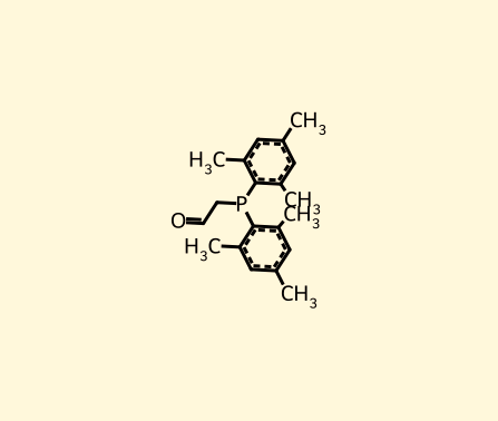 Cc1cc(C)c(P(CC=O)c2c(C)cc(C)cc2C)c(C)c1